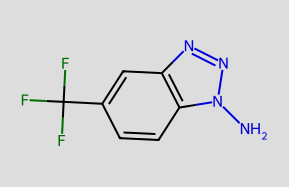 Nn1nnc2cc(C(F)(F)F)ccc21